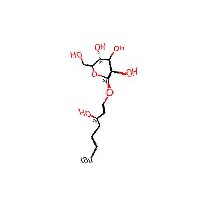 CC(C)(C)CCC[C@@H](O)CCO[C@H]1OC(CO)[C@H](O)C(O)C1O